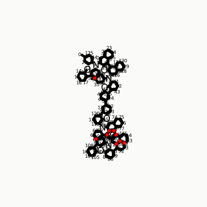 Cc1ccc(N(c2cccc3c2oc2ccccc23)c2cc3ccccc3c3c2oc2c(N(c4ccc(C)cc4)c4cccc5c4oc4ccc(-c6ccc7oc8c(N(c9ccccc9-c9ccccc9)c9cc%10ccccc%10c%10c9oc9c(N(c%11ccccc%11-c%11ccccc%11)c%11cccc%12c%11oc%11ccccc%11%12)cc%11ccccc%11c9%10)cccc8c7c6)cc45)cc4ccccc4c23)cc1